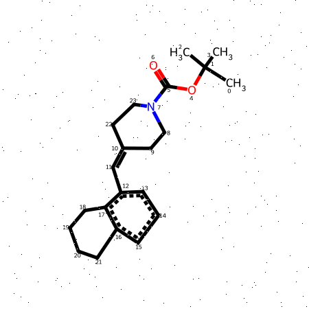 CC(C)(C)OC(=O)N1CCC(=Cc2cccc3c2CCCC3)CC1